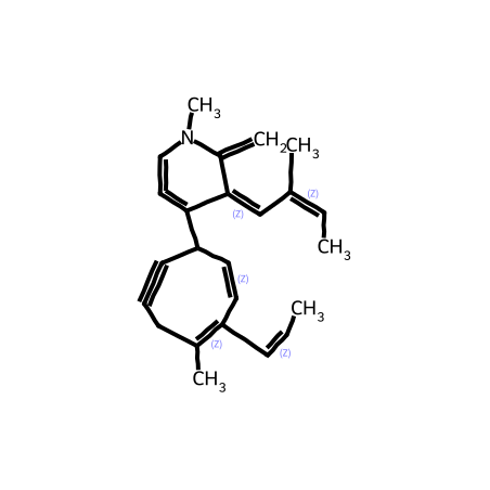 C=C1/C(=C\C(C)=C/C)C(C2C#CC/C(C)=C(/C=C\C)\C=C/2)=C=CN1C